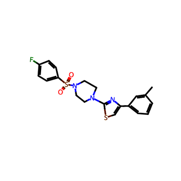 Cc1cccc(-c2csc(N3CCN(S(=O)(=O)c4ccc(F)cc4)CC3)n2)c1